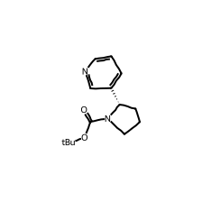 CC(C)(C)OC(=O)N1CCC[C@H]1c1cccnc1